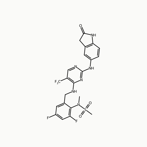 CN(c1c(F)cc(F)cc1CNc1nc(Nc2ccc3c(c2)CC(=O)N3)ncc1C(F)(F)F)S(C)(=O)=O